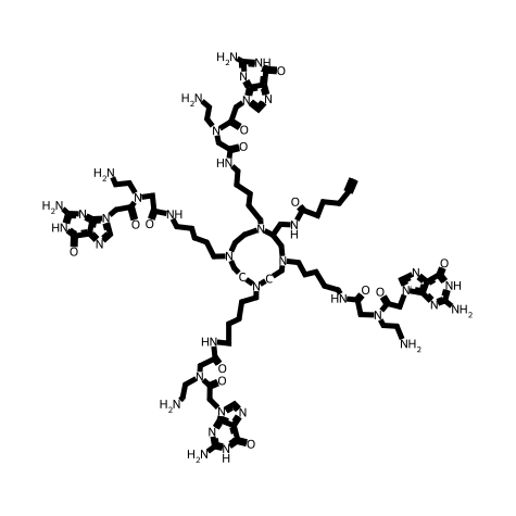 C#CCCCC(=O)NCC1CN(CCCCCNC(=O)CN(CCN)C(=O)Cn2cnc3c(=O)[nH]c(N)nc32)CCN(CCCCCNC(=O)CN(CCN)C(=O)Cn2cnc3c(=O)[nH]c(N)nc32)CCN(CCCCCNC(=O)CN(CCN)C(=O)Cn2cnc3c(=O)[nH]c(N)nc32)CCN1CCCCCNC(=O)CN(CCN)C(=O)Cn1cnc2c(=O)[nH]c(N)nc21